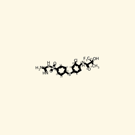 C[C@@](O)(C(=O)Nc1ccc(Sc2ccc(S(=O)(=O)NC(=N)N)cc2)cc1Cl)C(F)(F)F